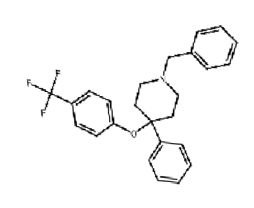 FC(F)(F)c1ccc(OC2(c3ccccc3)CCN(Cc3ccccc3)CC2)cc1